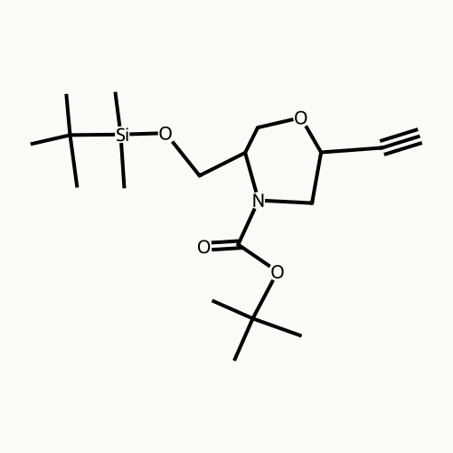 C#CC1CN(C(=O)OC(C)(C)C)C(CO[Si](C)(C)C(C)(C)C)CO1